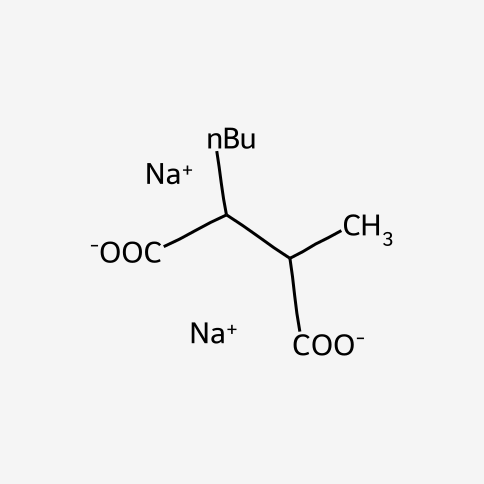 CCCCC(C(=O)[O-])C(C)C(=O)[O-].[Na+].[Na+]